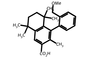 COCc1ccccc1-c1c(C)c(C(=O)O)cc2c1C(C)(C)CCC2(C)C